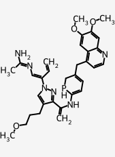 C=C/C(=C\N=C(/C)N)n1cc(CCCOC)c(C(=C)NC2=CC=C(Cc3ccnc4cc(OC)c(OC)cc34)CP2)n1